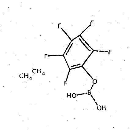 C.C.OB(O)Oc1c(F)c(F)c(F)c(F)c1F